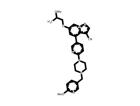 COc1ccc(CN2CCN(c3ccc(-c4cc(OCC(C)OC)cn5ncc(C#N)c45)cn3)CC2)cn1